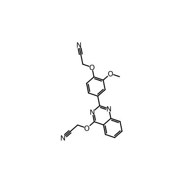 COc1cc(-c2nc(OCC#N)c3ccccc3n2)ccc1OCC#N